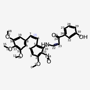 COc1ccc(/C=C\c2cc(OC)c(OC)c(OC)c2)c(N/C=C\C(=O)c2cccc(O)c2)c1N=O